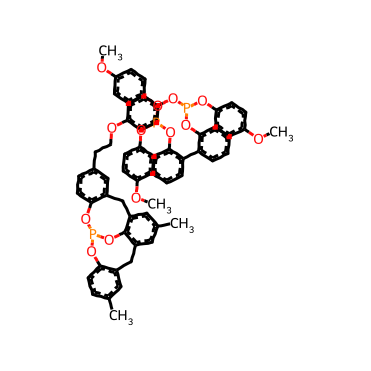 COc1ccc(OP(Oc2ccc(OC)cc2)Oc2ccccc2-c2ccccc2OP(Oc2ccc(OC)cc2)Oc2ccc(OCCc3ccc4c(c3)Cc3cc(C)cc5c3OP(Oc3ccc(C)cc3C5)O4)cc2)cc1